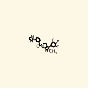 Cn1nc2c(c1-c1cc(F)c(F)c(F)c1)CCN(C(=O)c1cccc(-n3nccn3)c1)C2